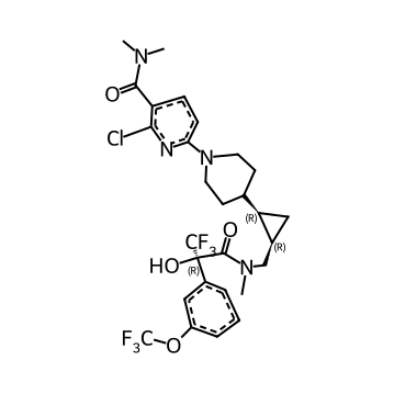 CN(C)C(=O)c1ccc(N2CCC([C@H]3C[C@H]3CN(C)C(=O)[C@](O)(c3cccc(OC(F)(F)F)c3)C(F)(F)F)CC2)nc1Cl